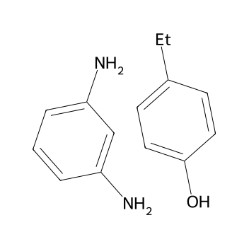 CCc1ccc(O)cc1.Nc1cccc(N)c1